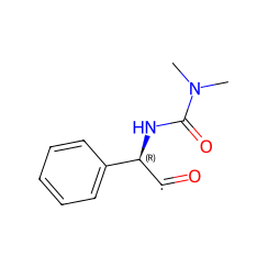 CN(C)C(=O)N[C@@H]([C]=O)c1ccccc1